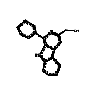 OCc1cc2c([nH]c3ccccc32)c(-c2ccccc2)n1